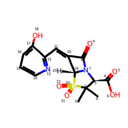 CC1(C)[C@H](C(=O)O)N2C(=O)/C(=C/c3ncccc3O)[C@H]2S1(=O)=O